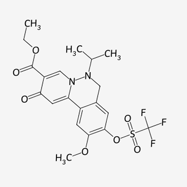 CCOC(=O)c1cn2c(cc1=O)-c1cc(OC)c(OS(=O)(=O)C(F)(F)F)cc1CN2C(C)C